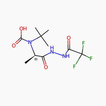 C[C@H](C(=O)NNC(=O)C(F)(F)F)N(C(=O)O)C(C)(C)C